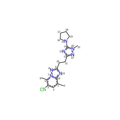 Cc1cc(Cl)c(C)n2nc(CCc3nc(N4CCCC4)n(C)n3)nc12